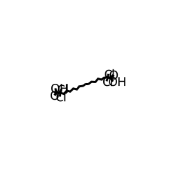 O=C(O)C(Cl)(Cl)CCCCCCCCCCCCCCC(Cl)(Cl)C(=O)O